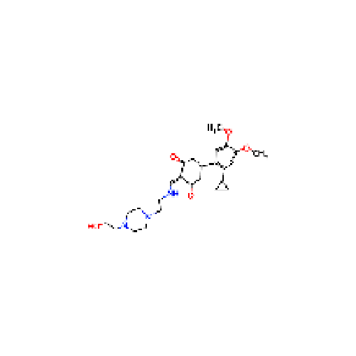 COc1cc(C2CC2)c(C2CC(=O)C(=CNCCN3CCN(CCO)CC3)C(=O)C2)cc1OC